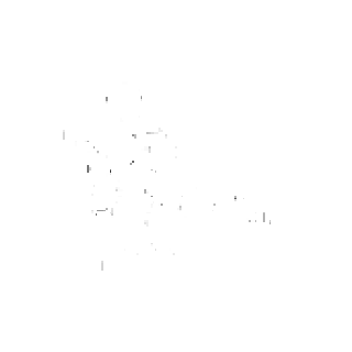 COc1ccc(C2=C(C)C(C(F)(F)F)n3ncc(C=O)c3N2N2CCNC[C@@]2(C)[C@@H](c2ccccc2)C(C)O)cc1